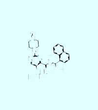 Cc1cnc(N2CCN(C)CC2)nc1C(=O)NC(C)c1cccc2ccccc12.Cl